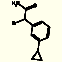 NC(=O)C(Br)c1cccc(C2CC2)c1